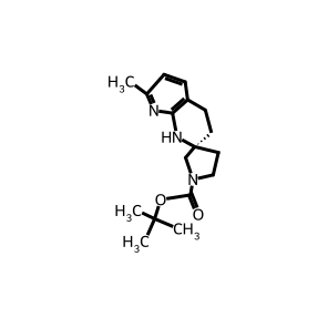 Cc1ccc2c(n1)N[C@@]1(CC2)CCN(C(=O)OC(C)(C)C)C1